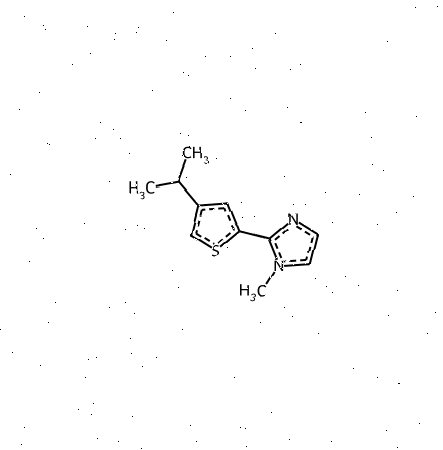 CC(C)c1csc(-c2nccn2C)c1